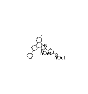 CCCCCCCCOc1ccc(-c2nc3c4cc(C)ccc4c4ccc(-c5ccccc5)cc4c3n2CCCCCCCC)cc1